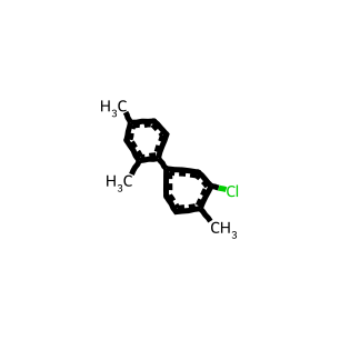 Cc1ccc(-c2ccc(C)c(Cl)c2)c(C)c1